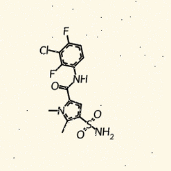 Cc1c(S(N)(=O)=O)cc(C(=O)Nc2ccc(F)c(Cl)c2F)n1C